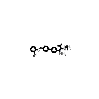 C=Nc1ccccc1SCc1ccc(-c2ccc(/C(N)=C(/NN)C(=C)C)cc2)cc1